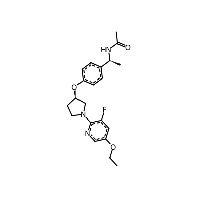 CCOc1cnc(N2CC[C@@H](Oc3ccc([C@H](C)NC(C)=O)cc3)C2)c(F)c1